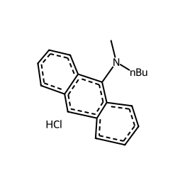 CCCCN(C)c1c2ccccc2cc2ccccc12.Cl